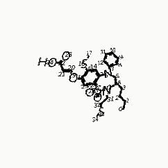 CCCCC1CN(c2ccccc2)c2cc(SC)c(O/C=C/C(=O)O)cc2S(=O)(=O)N1CCSC